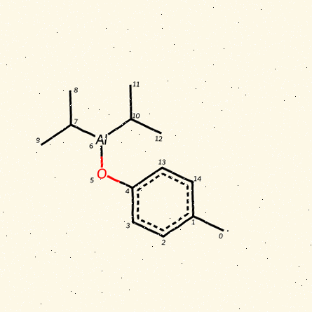 [CH2]c1ccc([O][Al]([CH](C)C)[CH](C)C)cc1